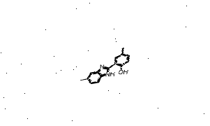 Cc1ccc(O)c(-c2nc3cc(C)ccc3[nH]2)c1